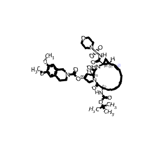 COc1cc2c(cc1OC)CN(C(=O)O[C@@H]1C[C@H]3C(=O)N[C@]4(C(=O)NS(=O)(=O)N5CCOCC5)C[C@H]4/C=C\CCCCC[C@H](NC(=O)OC(C)(C)C)C(=O)N3C1)CC2